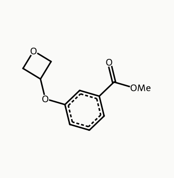 COC(=O)c1cccc(OC2COC2)c1